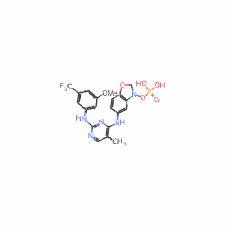 COc1cc(Nc2ncc(C)c(Nc3ccc4c(c3)N(OP(=O)(O)O)CO4)n2)cc(C(F)(F)F)c1